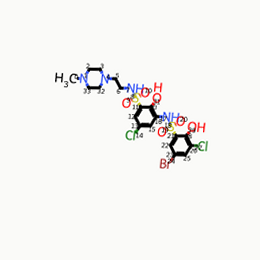 CN1CCN(CCNS(=O)(=O)c2cc(Cl)cc(NS(=O)(=O)c3cc(Br)cc(Cl)c3O)c2O)CC1